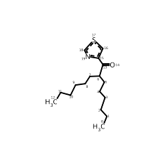 CCCCCCC(CCCCCC)C(=O)c1cscn1